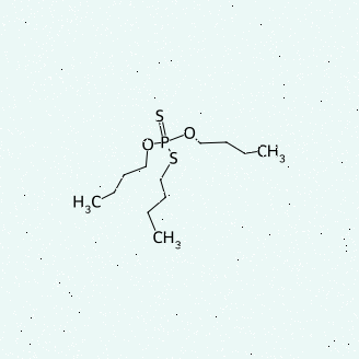 CCCCOP(=S)(OCCCC)SCCCC